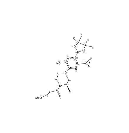 COCCC(=O)N1CCN(c2nc(C3CC3)c(B3OC(C)(C)C(C)(C)O3)cc2C#N)C[C@H]1C